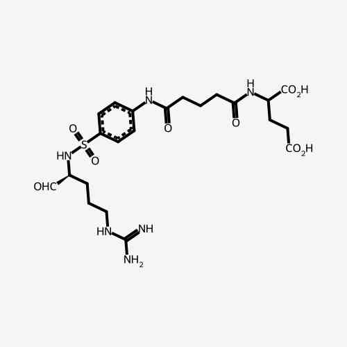 N=C(N)NCCC[C@@H](C=O)NS(=O)(=O)c1ccc(NC(=O)CCCC(=O)NC(CCC(=O)O)C(=O)O)cc1